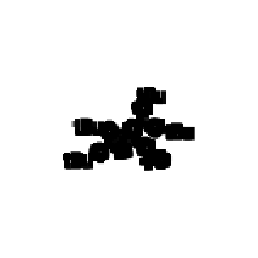 CC(C)(C)c1ccc(N(c2ccc(C(C)(C)C)cc2)c2ccc3c(c2)N(c2ccc4c(c2)C(C)(C)c2ccccc2-4)c2cccc4c2B3c2ccc(C(C)(C)C)cc2N4c2ccc(C(C)(C)C)cc2)cc1